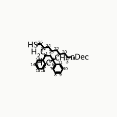 C=C(CC(C)(C)c1ccccc1)c1ccccc1.CCCCCCCCCCCCCCCCCCS